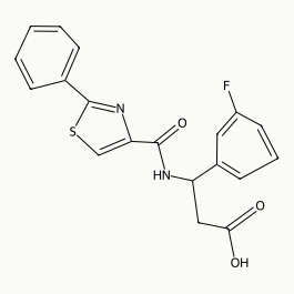 O=C(O)CC(NC(=O)c1csc(-c2ccccc2)n1)c1cccc(F)c1